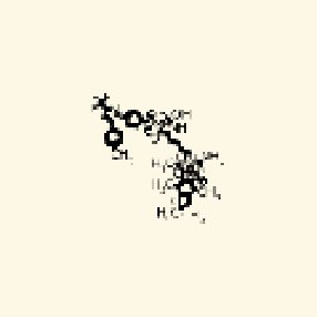 Cc1ccc(-c2cc(C(F)(F)F)nn2-c2ccc(S(=O)(=O)NC(=O)C(CCCCN(OC(C)(C)C)C(N)=NS(=O)(=O)c3c(C)c(C)c4c(c3C)CC(C)(C)O4)NC(=O)O)cc2)cc1